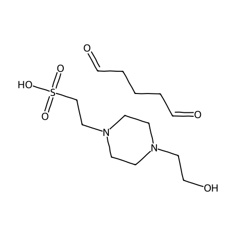 O=CCCCC=O.O=S(=O)(O)CCN1CCN(CCO)CC1